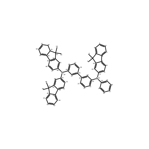 CC1(C)c2ccccc2-c2ccc(N(c3ccccc3)c3cccc(-c4cccc(N(c5ccc6c(c5)C(C)(C)c5ccccc5-6)c5ccc6c(c5)C(C)(C)C5CC=CC=C65)c4)c3)cc21